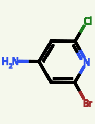 Nc1cc(Cl)nc(Br)c1